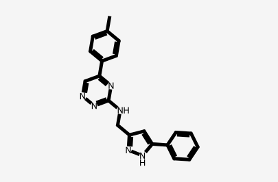 Cc1ccc(-c2cnnc(NCc3cc(-c4ccccc4)[nH]n3)n2)cc1